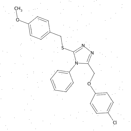 COc1ccc(CSc2nnc(COc3ccc(Cl)cc3)n2-c2ccccc2)cc1